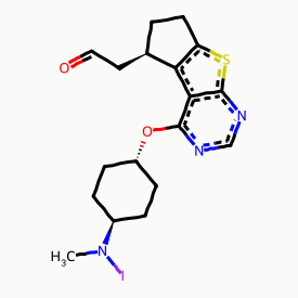 CN(I)[C@H]1CC[C@H](Oc2ncnc3sc4c(c23)[C@@H](CC=O)CC4)CC1